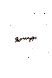 COc1cccc(F)c1-c1ncc2[nH]nc(-c3ccc(N4CCN(CC(=O)NCCOCCOCCNc5ccc6c(c5)C(=O)N(C5CCC(=O)NC5=O)C6=O)CC4)cc3)c2n1